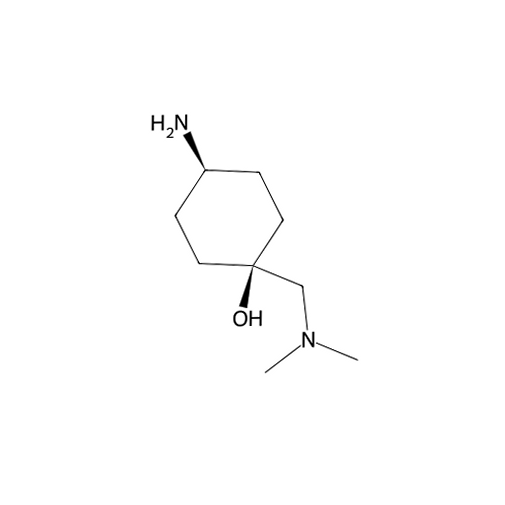 CN(C)C[C@]1(O)CC[C@@H](N)CC1